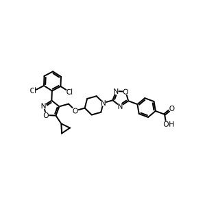 O=C(O)c1ccc(-c2nc(N3CCC(OCc4c(-c5c(Cl)cccc5Cl)noc4C4CC4)CC3)no2)cc1